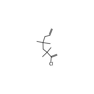 C=CCC(C)(C)CC(C)(C)C(=C)Cl